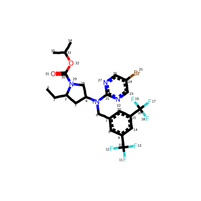 CCC1CC(N(Cc2cc(C(F)(F)F)cc(C(F)(F)F)c2)c2ncc(Br)cn2)CN1C(=O)OC(C)C